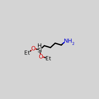 CCO[SiH](CCCCN)OCC